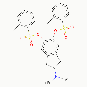 CCCN(CCC)C1Cc2cc(OS(=O)(=O)c3ccccc3C)c(OS(=O)(=O)c3ccccc3C)cc2C1